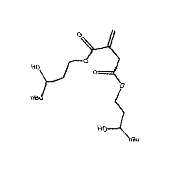 C=C(CC(=O)OCCC(O)CCCC)C(=O)OCCC(O)CCCC